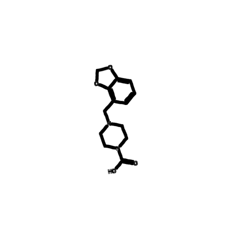 O=C(O)N1CCN(Cc2cccc3c2OCO3)CC1